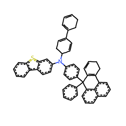 C1=CCCC(C2=CCC(N(c3ccc(C4(c5ccccc5)C5=C(CCC=C5)c5cccc6cccc4c56)cc3)c3ccc4c(c3)sc3ccccc34)C=C2)=C1